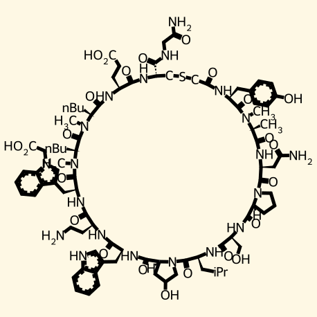 CCCC[C@H]1C(=O)N(C)[C@@H](CCCC)C(=O)N[C@@H](CCC(=O)O)C(=O)N[C@H](C(=O)NCC(N)=O)CSCC(=O)N[C@@H](Cc2ccc(O)cc2)C(=O)N(C)[C@@H](C)C(=O)N[C@@H](CC(N)=O)C(=O)N2CCC[C@H]2C(=O)N[C@@H](CO)C(=O)N[C@@H](CC(C)C)C(=O)N2CC(O)C[C@H]2C(=O)N[C@@H](Cc2c[nH]c3ccccc23)C(=O)N[C@@H](CCN)C(=O)N[C@@H](Cc2cn(CC(=O)O)c3ccccc23)C(=O)N1C